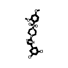 COc1ccc(S(=O)(=O)N2CCN(c3nc(-c4cc(Cl)cc(Cl)c4)cs3)CC2)c(OC)c1